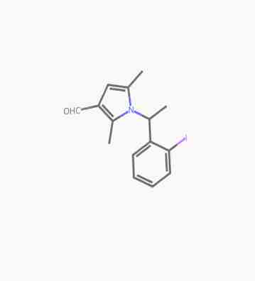 Cc1cc(C=O)c(C)n1C(C)c1ccccc1I